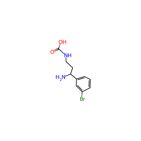 NC(CCNC(=O)O)c1cccc(Br)c1